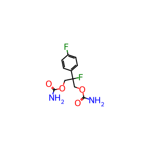 NC(=O)OCC(F)(COC(N)=O)c1ccc(F)cc1